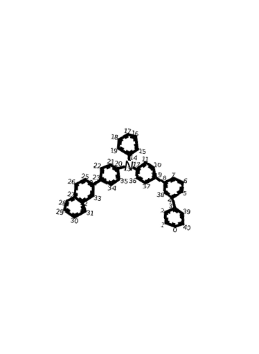 c1ccc(-c2cccc(-c3ccc(N(c4ccccc4)c4ccc(-c5ccc6ccccc6c5)cc4)cc3)c2)cc1